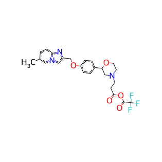 Cc1ccc2nc(COc3ccc(C4CN(CCC(=O)OC(=O)C(F)(F)F)CCO4)cc3)cn2c1